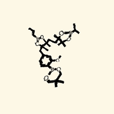 CCCB1OC(C)(CCC2(C)OB(C(C)C)OC2(C)C)C(C)(Cc2ccc(B3OCC(C)(C)CO3)c(OC)c2)O1